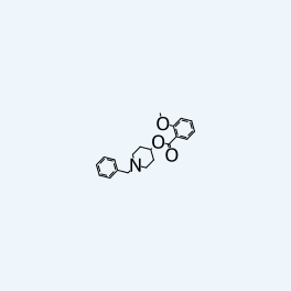 COc1ccccc1C(=O)OC1CCN(Cc2ccccc2)CC1